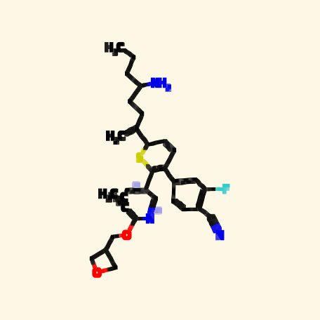 C=C=C(/N=C\C(=C/C)C1=C(c2ccc(C#N)c(F)c2)C=CC(C(=C)CCC(N)CCC)S1)OCC1COC1